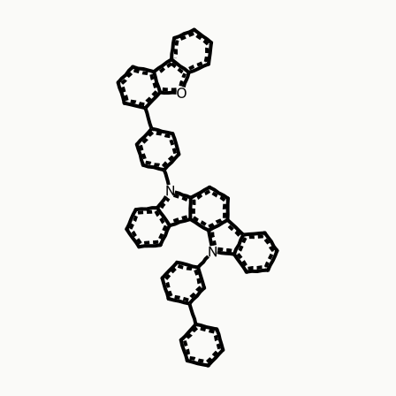 c1ccc(-c2cccc(-n3c4ccccc4c4ccc5c(c6ccccc6n5-c5ccc(-c6cccc7c6oc6ccccc67)cc5)c43)c2)cc1